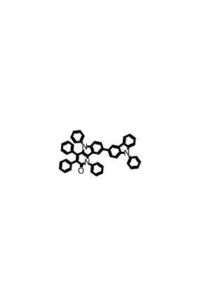 O=c1c(-c2ccccc2)c(-c2ccccc2)c2c(c3cc(-c4ccc5c(c4)c4ccccc4n5-c4ccccc4)ccc3n2-c2ccccc2)n1-c1ccccc1